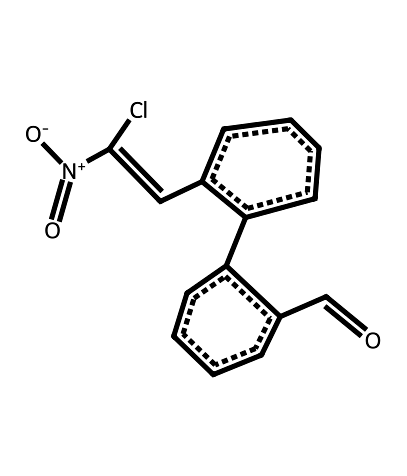 O=Cc1ccccc1-c1ccccc1C=C(Cl)[N+](=O)[O-]